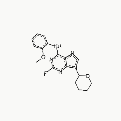 COc1ccccc1Nc1nc(F)nc2c1ncn2C1CCCCO1